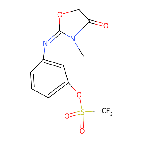 CN1C(=O)COC1=Nc1cccc(OS(=O)(=O)C(F)(F)F)c1